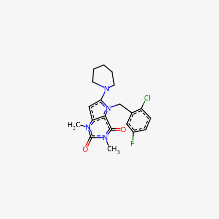 Cn1c(=O)c2c(cc(N3CCCCC3)n2Cc2cc(F)ccc2Cl)n(C)c1=O